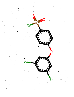 O=S(=O)(Cl)c1ccc(Oc2cc(Br)cc(Br)c2)cc1